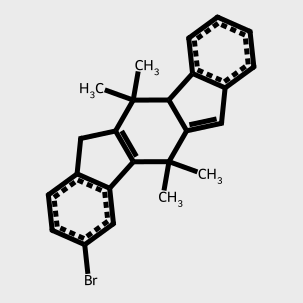 CC1(C)C2=Cc3ccccc3C2C(C)(C)C2=C1c1cc(Br)ccc1C2